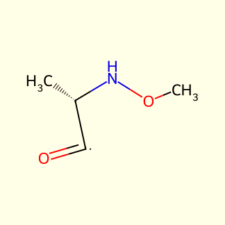 CON[C@@H](C)[C]=O